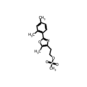 Cc1ccc(-c2nc(CCOS(C)(=O)=O)c(C)o2)c(C)c1